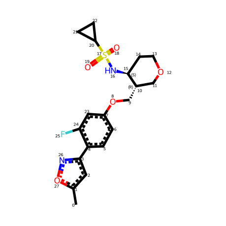 Cc1cc(-c2ccc(OC[C@H]3COCC[C@@H]3NS(=O)(=O)C3CC3)cc2F)no1